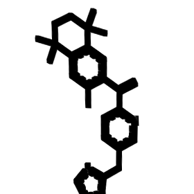 C=C(c1ccc(Cc2nccs2)cn1)c1cc2c(cc1C)C(C)(C)CCC2(C)C